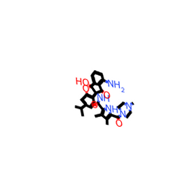 Cc1c(C(=O)NC23C(=O)c4c(N)cccc4C2(O)Oc2cc(C(C)C)ccc23)[nH]c(C(=O)N2CCN(C)CC2)c1C